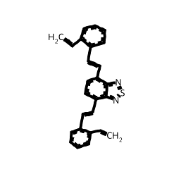 C=Cc1ccccc1/C=C/c1ccc(/C=C/c2ccccc2C=C)c2nsnc12